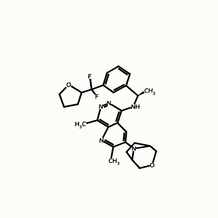 Cc1nc2c(C)nnc(N[C@H](C)c3cccc(C(F)(F)C4CCCO4)c3)c2cc1N1C2CCC1COC2